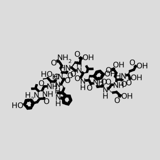 CC(C)C[C@H](NC(=O)[C@H](CCC(=O)O)NC(=O)[C@H](CCC(N)=O)NC(=O)[C@H](Cc1c[nH]c2ccccc12)NC(=O)[C@@H](NC(=O)[C@H](CC(C)C)NC(=O)[C@@H](N)Cc1ccc(O)cc1)[C@@H](C)O)C(=O)N[C@@H](Cc1ccc(O)cc1)C(=O)NCC(=O)N[C@@H](CCC(=O)O)C(=O)N[C@@H](CCC(=O)O)C(=O)N[C@@H](CCC(=O)O)C(=O)O